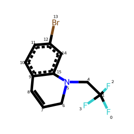 FC(F)(F)CN1CC=Cc2ccc(Br)cc21